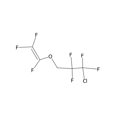 FC(F)=C(F)OCC(F)(F)C(F)(F)Cl